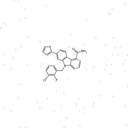 NC(=O)c1cccc2c1c1[c]cc(-c3cccs3)cc1n2Cc1cccc(Cl)c1F